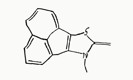 C=c1sc2c3cccc4cccc(c=2n1C)c43